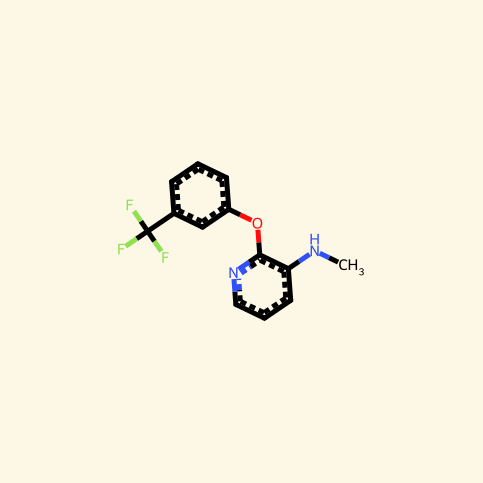 CNc1cccnc1Oc1cccc(C(F)(F)F)c1